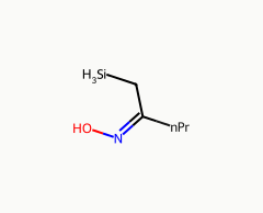 CCCC(C[SiH3])=NO